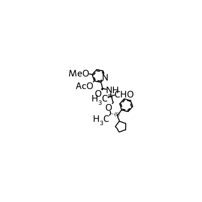 COc1ccnc(C(=O)N[C@](C)(C=O)COC(C)[C@H](c2ccccc2)C2CCCC2)c1OC(C)=O